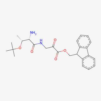 C[C@@H](OC(C)(C)C)[C@H](N)C(=O)NCC(=O)C(=O)OCC1c2ccccc2-c2ccccc21